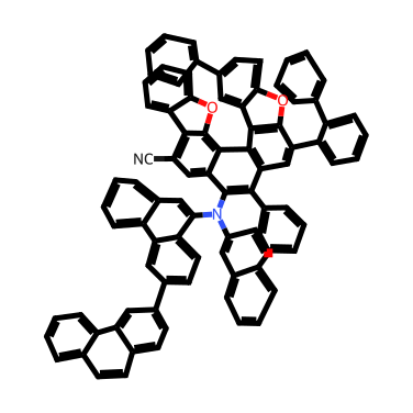 N#Cc1cc2c(N(c3ccc4ccccc4c3)c3cc4ccccc4c4cc(-c5ccc6ccc7ccccc7c6c5)ccc34)c(-c3ccccc3)c3cc(-c4ccccc4-c4ccccc4)c4oc5ccc(-c6ccccc6)cc5c4c3c2c2oc3ccccc3c12